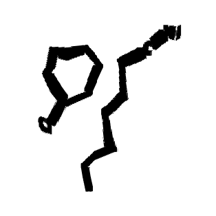 C=CCCCC=C=N.Clc1ccccc1